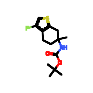 CC1(NC(=O)OC(C)(C)C)CCc2c(F)csc2C1